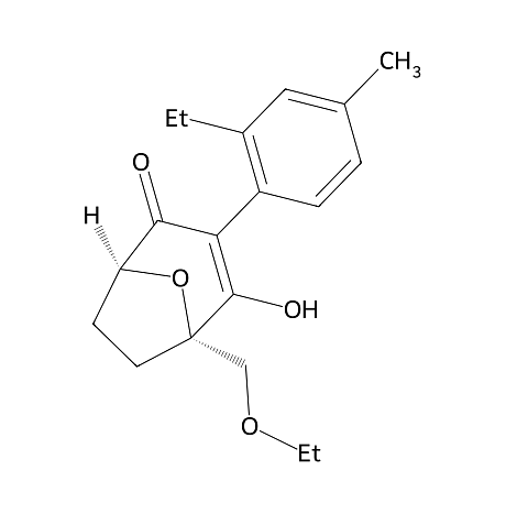 CCOC[C@]12CC[C@H](O1)C(=O)C(c1ccc(C)cc1CC)=C2O